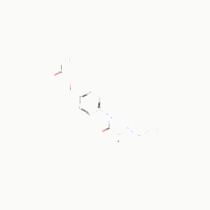 CCN[C@@H](C)C(=O)Nc1ccc(COC(C)=O)cc1